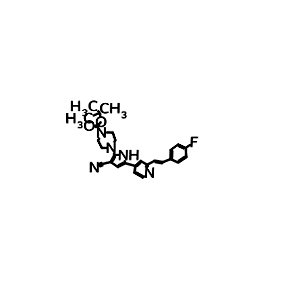 CC(C)(C)OC(=O)N1CCN(c2[nH]c(-c3ccnc(C=Cc4ccc(F)cc4)c3)cc2C#N)CC1